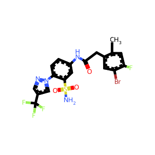 Cc1cc(F)c(Br)cc1CC(=O)Nc1ccc(-n2cc(C(F)(F)F)cn2)c(S(N)(=O)=O)c1